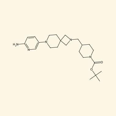 CC(C)(C)OC(=O)N1CCC(CN2CC3(CCN(c4ccc(N)nc4)CC3)C2)CC1